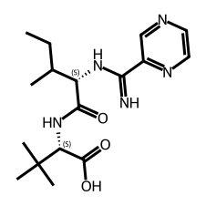 CCC(C)[C@H](NC(=N)c1cnccn1)C(=O)N[C@H](C(=O)O)C(C)(C)C